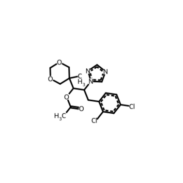 CC(=O)OC(C(Cc1ccc(Cl)cc1Cl)n1cncn1)C1(C)COCOC1